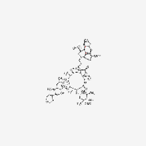 C=N/C=C(Cl)\C(CN(CCS[C@@H]1C(=O)O[C@@]2(C)[C@H]1[C@@H](C)C(=O)[C@H](C)C[C@@](C)(OC)[C@H](O[C@@H]1O[C@H](C)C[C@H](N(C)C(=O)N3CCOCC3)[C@H]1O)[C@@H](C)[C@H](O[C@H]1C[C@@](C)(OC)[C@@H](O)[C@H](C)O1)[C@@H](C)C(=O)O[C@@H]2CC)c1ccc(OC)c(OC2CCCC2)c1)=C(/C)Cl